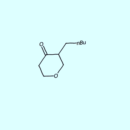 CCCCCC1COCCC1=O